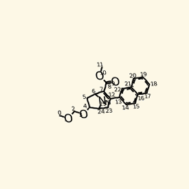 COCO[C@H]1CC2C(C(=O)OC)=C(c3ccc4ccccc4c3)CC1N2C